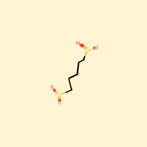 O=[SH](=O)CCCCC[SH](=O)=O